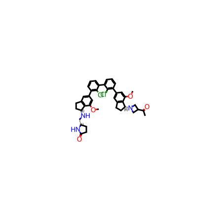 COc1cc(-c2cccc(-c3cccc(-c4cc5c(c(OC)c4)[C@H](NC[C@@H]4CCC(=O)N4)CC5)c3Cl)c2Cl)cc2c1[C@H](N1CC(C(C)=O)C1)CC2